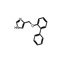 c1ccc(-c2ccccc2OCc2c[nH]cn2)cc1